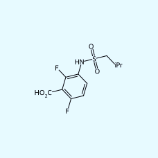 CC(C)CS(=O)(=O)Nc1ccc(F)c(C(=O)O)c1F